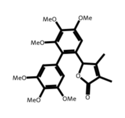 COc1cc(-c2c(C3OC(=O)C(C)=C3C)cc(OC)c(OC)c2OC)cc(OC)c1OC